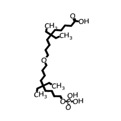 CCC(CC)(CCCCOCCCCC(CC)(CC)CCCCC(=O)O)CCCCOP(=O)(O)O